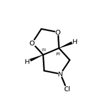 ClN1C[C@@H]2OCO[C@@H]2C1